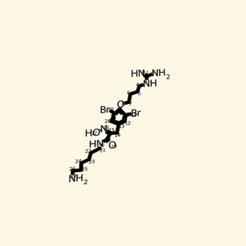 N=C(N)NCCCCOc1c(Br)cc(CC(=NO)C(=O)NCCCCCCN)cc1Br